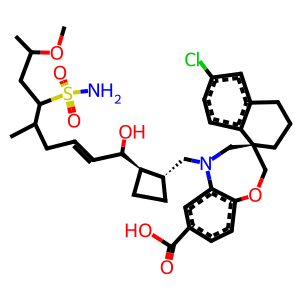 COC(C)CC(C(C)C/C=C/C(O)[C@@H]1CC[C@H]1CN1C[C@@]2(CCCc3cc(Cl)ccc32)COc2ccc(C(=O)O)cc21)S(N)(=O)=O